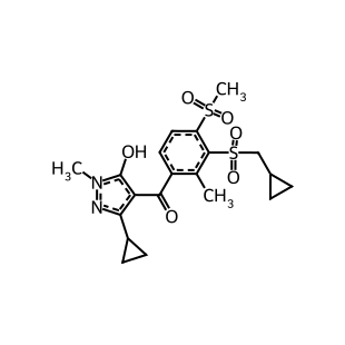 Cc1c(C(=O)c2c(C3CC3)nn(C)c2O)ccc(S(C)(=O)=O)c1S(=O)(=O)CC1CC1